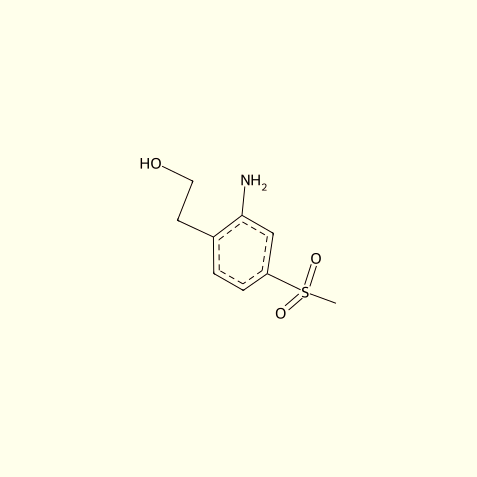 CS(=O)(=O)c1ccc(CCO)c(N)c1